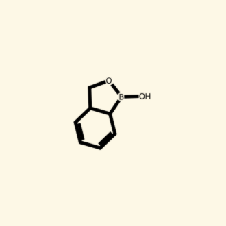 OB1OCC2C=CC=CC12